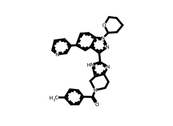 Cc1ccc(C(=O)N2CCc3nc(-c4nn(C5CCCCO5)c5ccc(-c6cccnc6)cc45)[nH]c3C2)cc1